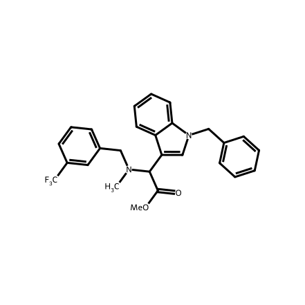 COC(=O)C(c1cn(Cc2ccccc2)c2ccccc12)N(C)Cc1cccc(C(F)(F)F)c1